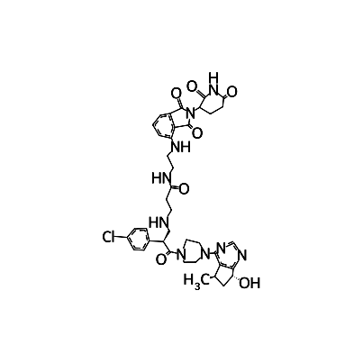 C[C@@H]1C[C@@H](O)c2ncnc(N3CCN(C(=O)[C@H](CNCCC(=O)NCCNc4cccc5c4C(=O)N(C4CCC(=O)NC4=O)C5=O)c4ccc(Cl)cc4)CC3)c21